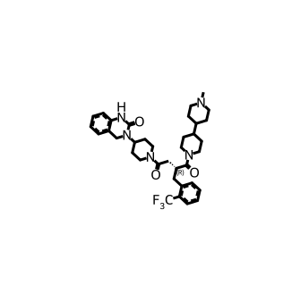 CN1CCC(C2CCN(C(=O)[C@@H](CC(=O)N3CCC(N4Cc5ccccc5NC4=O)CC3)Cc3ccccc3C(F)(F)F)CC2)CC1